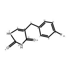 O=c1[nH]cc(Cc2ccc(F)cc2)c(=O)[nH]1